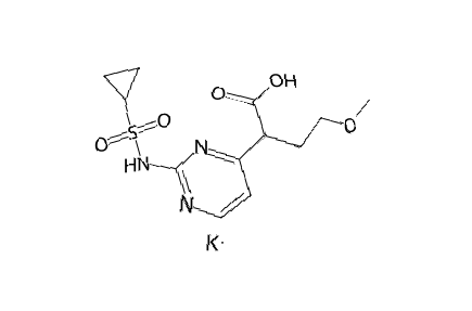 COCCC(C(=O)O)c1ccnc(NS(=O)(=O)C2CC2)n1.[K]